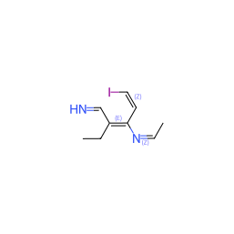 C\C=N/C(/C=C\I)=C(/C=N)CC